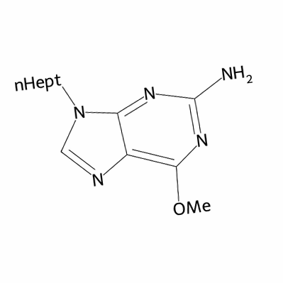 CCCCCCCn1cnc2c(OC)nc(N)nc21